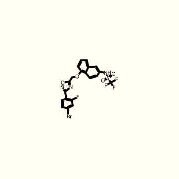 O=S(=O)(Nc1ccc2c(OCc3nc(-c4ccc(Br)cc4F)no3)cccc2c1)C(F)(F)F